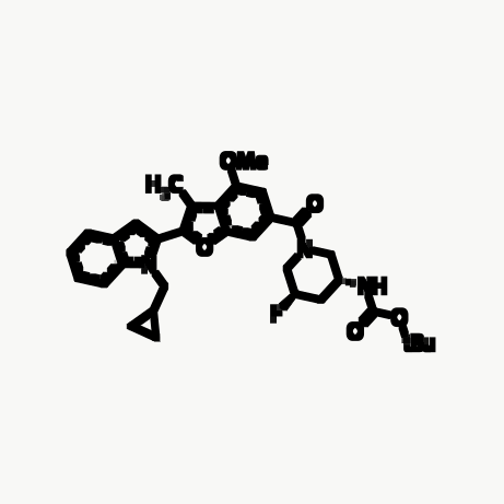 COc1cc(C(=O)N2C[C@H](F)C[C@@H](NC(=O)OC(C)(C)C)C2)cc2oc(-c3cc4ccccc4n3CC3CC3)c(C)c12